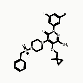 CC1(COc2c(N)nn(-c3cc(F)cc(F)c3)c(=O)c2N2CCN(S(=O)(=O)Cc3ccccc3)CC2)CC1